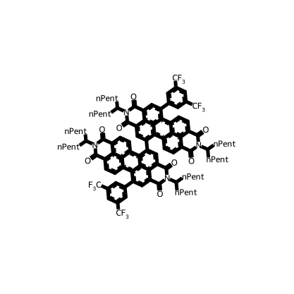 CCCCCC(CCCCC)N1C(=O)c2ccc3c4c(-c5cc(C(F)(F)F)cc(C(F)(F)F)c5)cc5c6c(cc(-c7cc8c9c(cc(-c%10cc(C(F)(F)F)cc(C(F)(F)F)c%10)c%10c%11ccc%12c%13c(ccc(c7c9%10)c%13%11)C(=O)N(C(CCCCC)CCCCC)C%12=O)C(=O)N(C(CCCCC)CCCCC)C8=O)c(c7ccc(c2c37)C1=O)c64)C(=O)N(C(CCCCC)CCCCC)C5=O